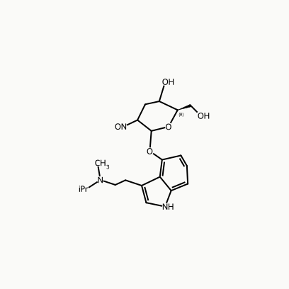 CC(C)N(C)CCc1c[nH]c2cccc(OC3O[C@H](CO)C(O)CC3N=O)c12